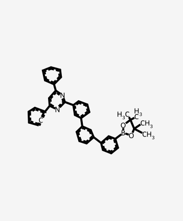 CC1(C)OB(c2cccc(-c3cccc(-c4cccc(-c5nc(-c6ccccc6)cc(-c6ccccc6)n5)c4)c3)c2)OC1(C)C